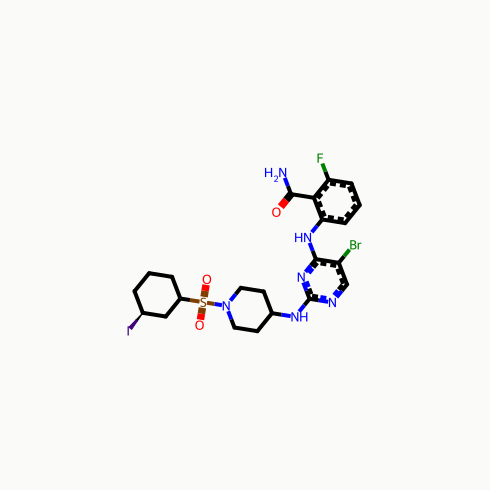 NC(=O)c1c(F)cccc1Nc1nc(NC2CCN(S(=O)(=O)C3CCC[C@H](I)C3)CC2)ncc1Br